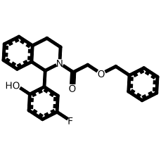 O=C(COCc1ccccc1)N1CCc2ccccc2C1c1cc(F)ccc1O